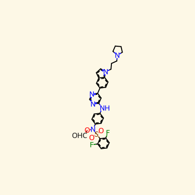 O=CON(c1ccc(Nc2cc(-c3ccc4c(ccn4CCCN4CCCC4)c3)ncn2)cc1)S(=O)(=O)c1c(F)cccc1F